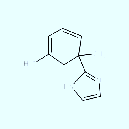 CC1=CC=CC(C)(c2ncc[nH]2)C1